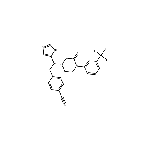 N#Cc1ccc(CC(c2cnc[nH]2)N2CCN(c3cccc(C(F)(F)F)c3)C(=O)C2)cc1